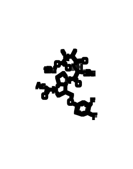 CC(=O)C(=O)N1CC(COc2ccc(F)c(F)c2)C2C1CCN2C(=O)C(NC(=O)C(C)N(C)C(=O)OC(C)(C)C)C(C)(C)C